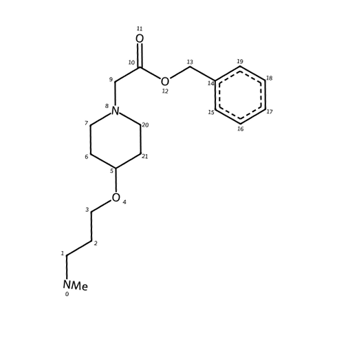 CNCCCOC1CCN(CC(=O)OCc2ccccc2)CC1